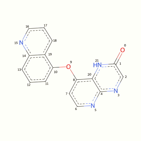 O=c1cnc2nccc(Oc3cccc4ncccc34)c2[nH]1